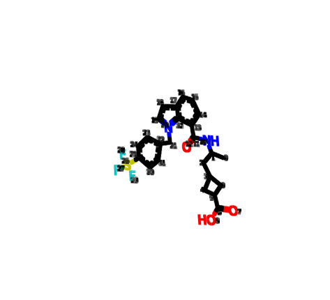 CC(CC1CC(C(=O)O)C1)NC(=O)c1cccc2ccn(Cc3ccc(S(F)(F)F)cc3)c12